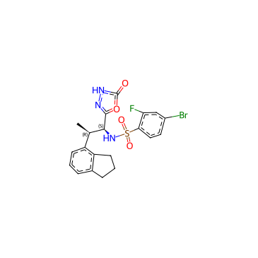 C[C@H](c1cccc2c1CCC2)[C@H](NS(=O)(=O)c1ccc(Br)cc1F)c1n[nH]c(=O)o1